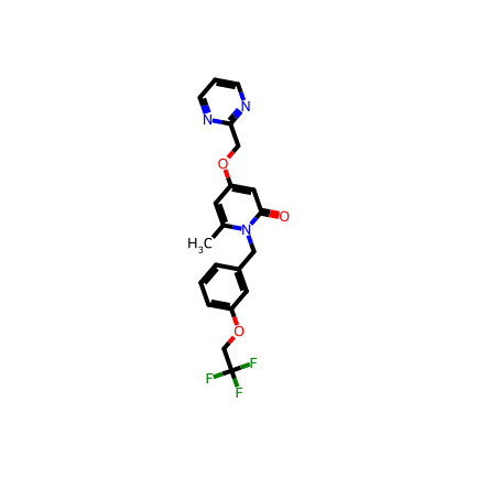 Cc1cc(OCc2ncccn2)cc(=O)n1Cc1cccc(OCC(F)(F)F)c1